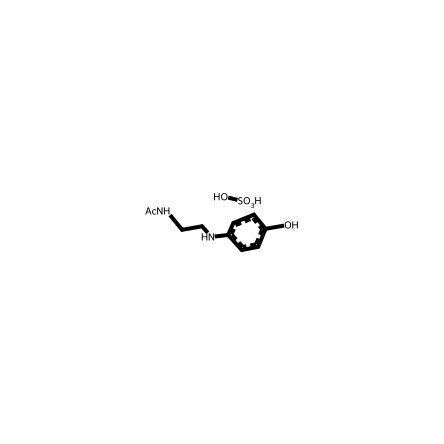 CC(=O)NCCNc1ccc(O)cc1.O=S(=O)(O)O